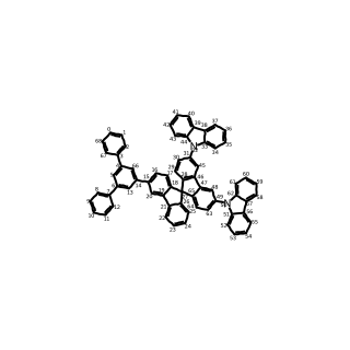 c1ccc(-c2cc(-c3ccccc3)cc(-c3ccc4c(c3)-c3ccccc3C43c4ccc(-n5c6ccccc6c6ccccc65)cc4-c4cc(-n5c6ccccc6c6ccccc65)ccc43)c2)cc1